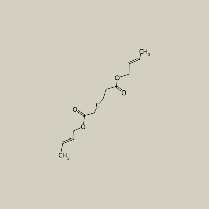 CC=CCOC(=O)CCCCC(=O)OCC=CC